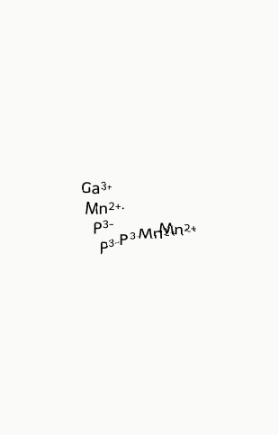 [Ga+3].[Mn+2].[Mn+2].[Mn+2].[P-3].[P-3].[P-3]